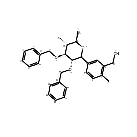 CC[C@H]1OC(c2ccc(C)c(CO)c2)[C@H](OCc2ccccc2)[C@@H](OCc2ccccc2)[C@@H]1C